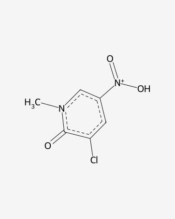 Cn1cc([N+](=O)O)cc(Cl)c1=O